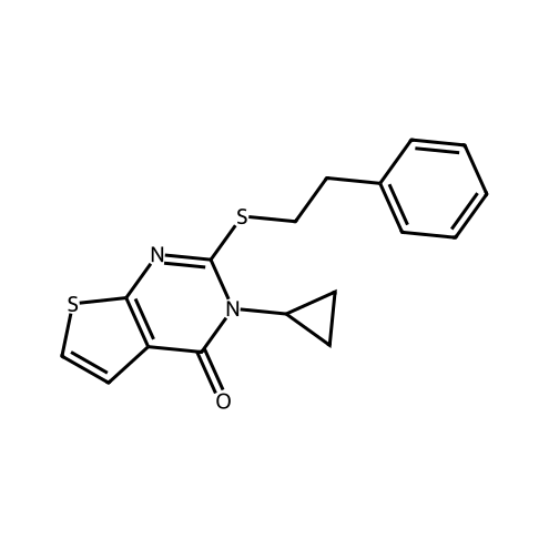 O=c1c2ccsc2nc(SCCc2ccccc2)n1C1CC1